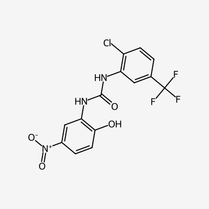 O=C(Nc1cc([N+](=O)[O-])ccc1O)Nc1cc(C(F)(F)F)ccc1Cl